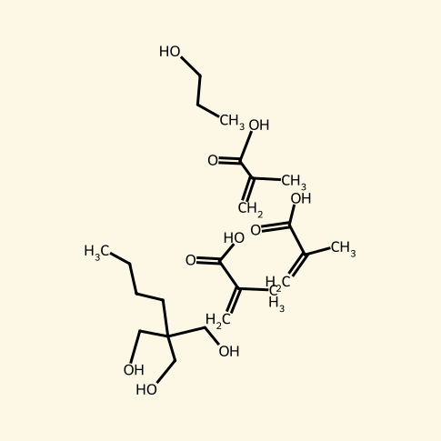 C=C(C)C(=O)O.C=C(C)C(=O)O.C=C(C)C(=O)O.CCCCC(CO)(CO)CO.CCCO